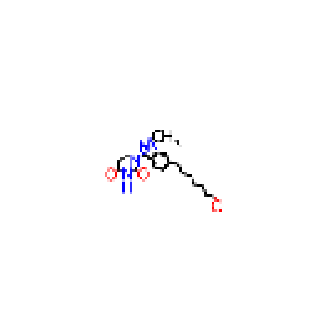 Cn1nc(N2CCC(=O)NC2=O)c2ccc(CCCCCCC=O)cc21